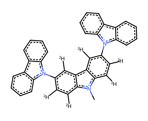 [2H]c1c(-n2c3ccccc3c3ccccc32)c([2H])c2c3c([2H])c(-n4c5ccccc5c5ccccc54)c([2H])c([2H])c3n(C)c2c1[2H]